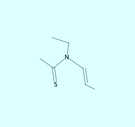 C/C=C/N(CC)C(C)=S